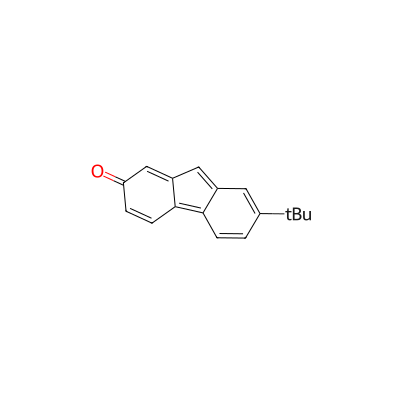 CC(C)(C)c1ccc2c(c1)=CC1=CC(=O)C=CC=21